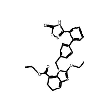 CCOC(=O)C1=c2c(nc(OCC)n2Cc2ccc(-c3ccccc3-c3noc(=O)[nH]3)cc2)=CCC1